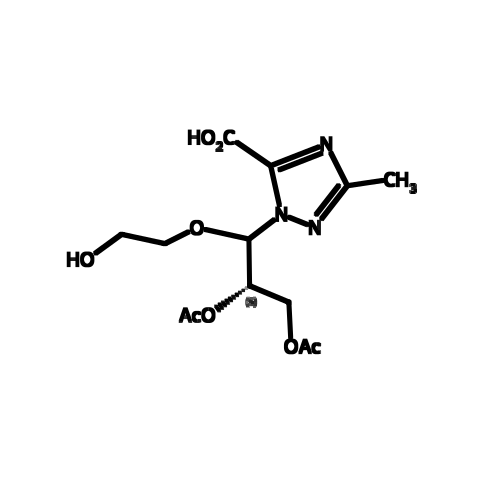 CC(=O)OC[C@H](OC(C)=O)C(OCCO)n1nc(C)nc1C(=O)O